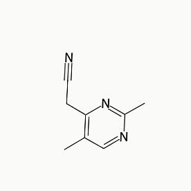 Cc1ncc(C)c(CC#N)n1